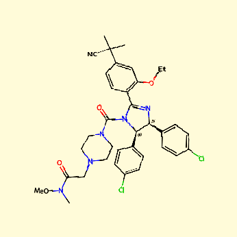 CCOc1cc(C(C)(C)C#N)ccc1C1=N[C@@H](c2ccc(Cl)cc2)[C@@H](c2ccc(Cl)cc2)N1C(=O)N1CCN(CC(=O)N(C)OC)CC1